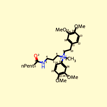 CCCCCC(=O)NCCC[N+](C)(CCc1ccc(OC)c(OC)c1)c1ccc(OC)c(OC)c1